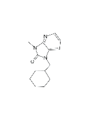 Cn1c(=O)n(CC2CCCCC2)c2cccnc21